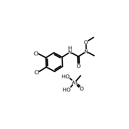 CON(C)C(=O)Nc1ccc(Cl)c(Cl)c1.C[As](=O)(O)O